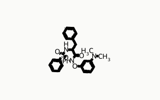 CCCN(Oc1cccc(N(C)C)c1)C(=O)C(Cc1cc[c]cc1)NS(=O)(=O)c1ccccc1